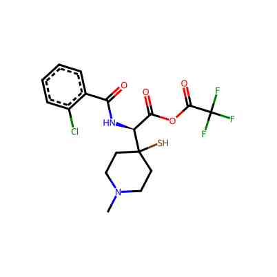 CN1CCC(S)([C@@H](NC(=O)c2ccccc2Cl)C(=O)OC(=O)C(F)(F)F)CC1